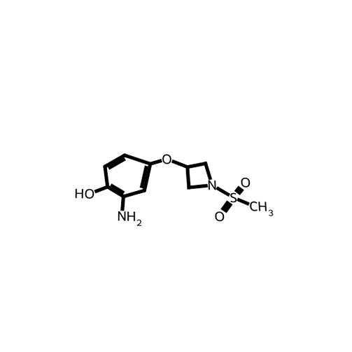 CS(=O)(=O)N1CC(Oc2ccc(O)c(N)c2)C1